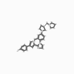 Fc1ccc(-c2cc3n(c2)Cc2cc(N4CC[C@@H](CN5CCCC5)C4)ccc2-n2ccnc2-3)cc1